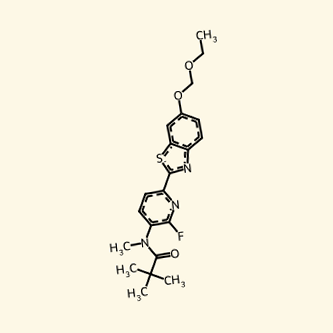 CCOCOc1ccc2nc(-c3ccc(N(C)C(=O)C(C)(C)C)c(F)n3)sc2c1